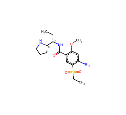 CC[C@H](NC(=O)c1cc(S(=O)(=O)CC)c(N)cc1OC)[C@@H]1CCCN1